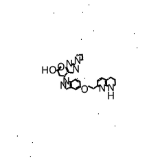 O=C(O)CC(c1cnc(N2CCC2)nc1)n1ncc2cc(OCCc3ccc4c(n3)NCCC4)ccc21